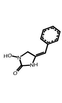 O=C1NC(=Cc2ccccc2)CN1O